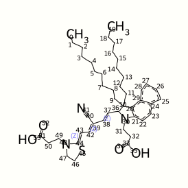 CCCCCCCCCCC1(CCCCCCCCC)c2c(ccc3ccccc23)N(CCC(=O)O)C1/C=C/C(C#N)=C/C=C1\SCCN1CCC(=O)O